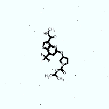 CNC(=O)c1csc2c(C(F)(F)F)cc(O[C@H]3CCN(C(=O)OC(C)C)C3)nc12